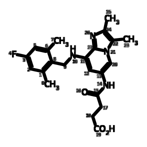 Cc1cc(F)cc(C)c1CNc1cc(NC(=O)CCC(=O)O)cn2c(C)c(C)nc12